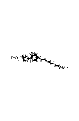 CCOC(=O)C1(C)CNC(c2ncc(OCCOCCOCCOC)cc2O)=N1